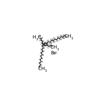 CCCCCCCCCCCCCC[N+](CCCCC)(CCCCC)CCCCCCCCCCCCCC.[Br-]